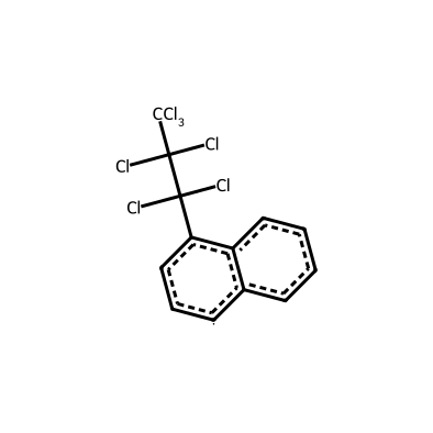 ClC(Cl)(Cl)C(Cl)(Cl)C(Cl)(Cl)c1cc[c]c2ccccc12